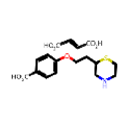 O=C(O)C=CC(=O)O.O=C(O)c1ccc(OCCC2CNCCS2)cc1